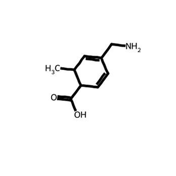 CC1C=C(CN)C=CC1C(=O)O